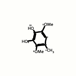 COc1cc(C)c(OC)c(O)c1O